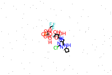 O=P(O)(O)[C@@](CO)(COCC(F)(F)F)OC[C@H]1O[C@@H](n2ncc3c(NC4CCCC4)nc(Cl)nc32)[C@H](O)[C@@H]1O